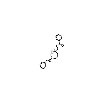 C[C@@]1(COC(=O)c2ccccc2)C=CCC(OCc2ccccc2)CO1